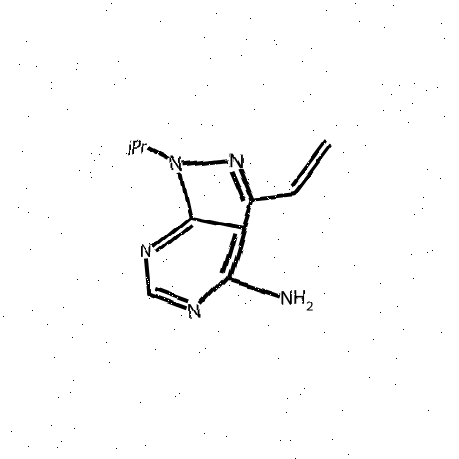 C=Cc1nn(C(C)C)c2ncnc(N)c12